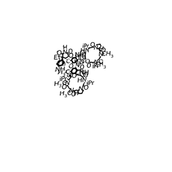 CCC1(c2ccc(N)cc2)CCC(=O)NC1=O.Cc1c2oc3c(C)ccc(C(=O)N[C@@H]4C(=O)N[C@H](C(C)C)C(=O)N5CCC[C@H]5C(=O)N(C)CC(=O)N(C)[C@@H](C(C)C)C(=O)O[C@@H]4C)c3nc-2c(C(=O)N[C@@H]2C(=O)N[C@H](C(C)C)C(=O)N3CCC[C@H]3C(=O)N(C)CC(=O)N(C)[C@@H](C(C)C)C(=O)O[C@@H]2C)c(N)c1=O